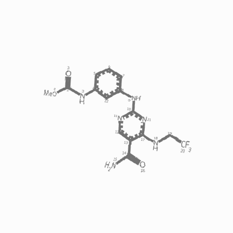 COC(=O)Nc1cccc(Nc2ncc(C(N)=O)c(NCC(F)(F)F)n2)c1